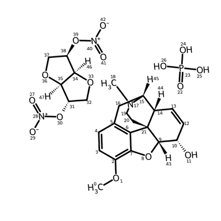 COc1ccc2c3c1O[C@H]1[C@@H](O)C=C[C@H]4[C@@H](C2)N(C)CC[C@@]341.O=P(O)(O)O.O=[N+]([O-])O[C@H]1CO[C@H]2[C@@H]1OC[C@H]2O[N+](=O)[O-]